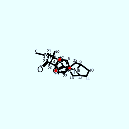 CNC(=O)c1ccc(N2C3CCC2CN(C(=O)OC(C)(C)C)C3)cn1